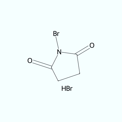 Br.O=C1CCC(=O)N1Br